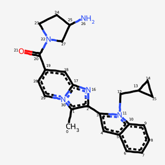 Cc1c(-c2cc3ccccc3n2CC2CC2)nc2cc(C(=O)N3CCC(N)C3)ccn12